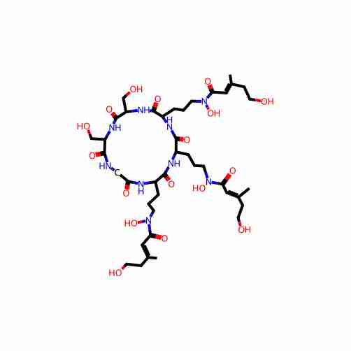 C/C(=C\C(=O)N(O)CCCC1NC(=O)CNC(=O)C(CO)NC(=O)C(CO)NC(=O)C(CCCN(O)C(=O)/C=C(\C)CCO)NC(=O)C(CCCN(O)C(=O)/C=C(\C)CCO)NC1=O)CCO